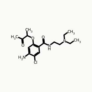 CCN(CC)CCNC(=O)c1cc(Cl)c(N)cc1OC(C)C(C)=O